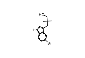 CC(C)(CO)Cc1c[nH]c2ccc(Br)cc12